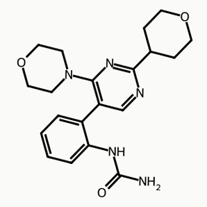 NC(=O)Nc1ccccc1-c1cnc(C2CCOCC2)nc1N1CCOCC1